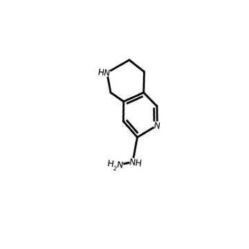 NNc1cc2c(cn1)CCNC2